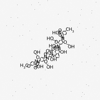 COc1ccc(/N=N/c2cc(OCCO)c(/N=N/c3c(C(=O)O)nn(-c4cccc5c(O)c(/N=N/c6cc(OCCO)c(/N=N/c7ccc(C)cc7S(=O)(=O)O)cc6OCCO)c(S(=O)(=O)O)cc45)c3O)cc2OCCO)c(S(=O)(=O)O)c1